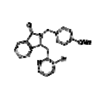 COc1ccc(CN2C(=O)c3ccccc3C2Cc2ncccc2Br)cc1